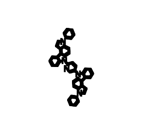 c1ccc(-n2ccc3c4c5ccccc5n(-c5ccc(-n6c7ccccc7c7c8ccn(-c9ccccc9)c8ccc76)nc5)c4ccc32)cc1